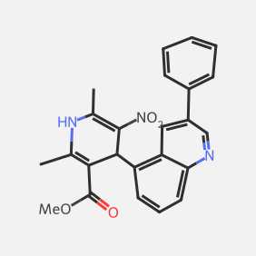 COC(=O)C1=C(C)NC(C)=C([N+](=O)[O-])C1c1cccc2ncc(-c3ccccc3)cc12